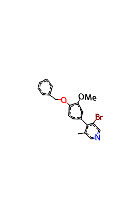 COc1cc(-c2c(C)cncc2Br)ccc1OCc1ccccc1